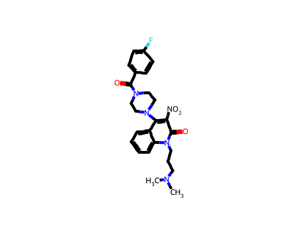 CN(C)CCCn1c(=O)c([N+](=O)[O-])c(N2CCN(C(=O)c3ccc(F)cc3)CC2)c2ccccc21